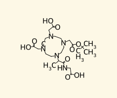 CC(C(=O)NCC(=O)O)N1CCN(CC(=O)O)CCN(CC(=O)O)CCN(CC(=O)OC(C)(C)C)CC1